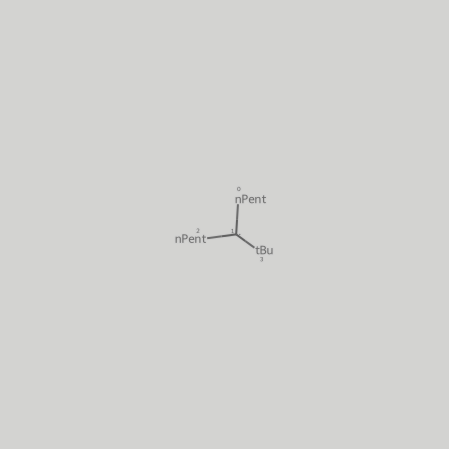 CCCCC[C](CCCCC)C(C)(C)C